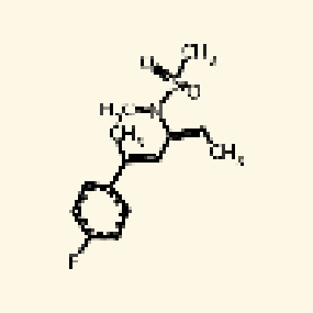 C/C=C(\C=C(/C)c1ccc(F)cc1)N(C)S(C)(=O)=O